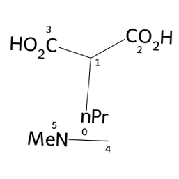 CCCC(C(=O)O)C(=O)O.CNC